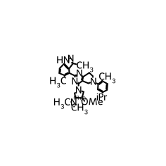 CO[C@@H]1CN(c2nc(-c3c(C)ccc4[nH]nc(C)c34)nc3c2CN(c2cc(C(C)C)ccc2C)CC3)C[C@H]1N(C)C